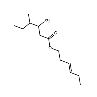 CC/C=C/CCOC(=O)CC(S)C(C)CC